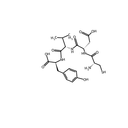 CC(C)[C@H](NC(=O)[C@H](CC(=O)O)NC(=O)[C@@H](N)CS)C(=O)N[C@@H](Cc1ccc(O)cc1)C(=O)O